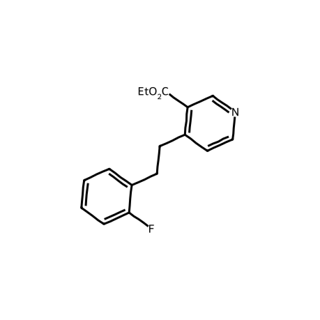 CCOC(=O)c1cnccc1CCc1ccccc1F